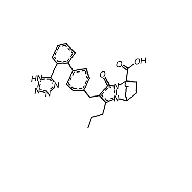 CCCc1c(Cc2ccc(-c3ccccc3-c3nnn[nH]3)cc2)c(=O)n2n1C1CCC2(C(=O)O)CC1